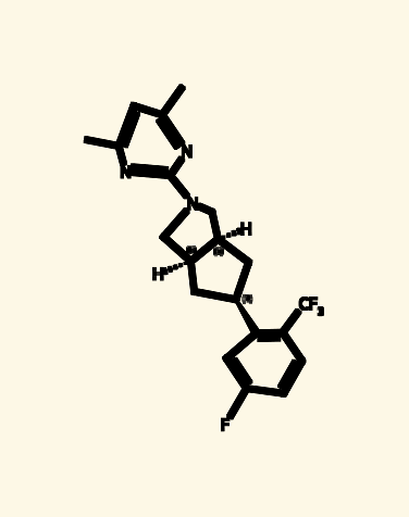 Cc1cc(C)nc(N2C[C@H]3C[C@@H](c4cc(F)ccc4C(F)(F)F)C[C@H]3C2)n1